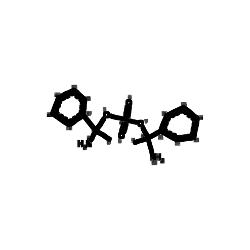 CC(N)(OS(=O)(=O)OC(C)(N)c1ccccc1)c1ccccc1